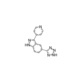 c1cc(-c2n[nH]c3ccc(-c4nn[nH]n4)cc23)ccn1